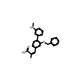 CNc1cccc(-c2ccc(C=C(C)C(=O)O)cc2OCc2ccccc2)c1